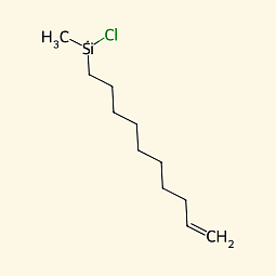 C=CCCCCCCCC[Si](C)Cl